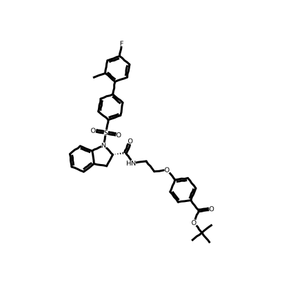 Cc1cc(F)ccc1-c1ccc(S(=O)(=O)N2c3ccccc3C[C@H]2C(=O)NCCOc2ccc(C(=O)OC(C)(C)C)cc2)cc1